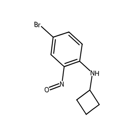 O=Nc1cc(Br)ccc1NC1CCC1